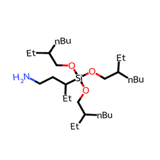 CCCCC(CC)CO[Si](OCC(CC)CCCC)(OCC(CC)CCCC)C(CC)CCN